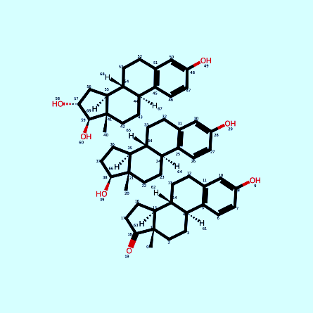 C[C@]12CC[C@@H]3c4ccc(O)cc4CC[C@H]3[C@@H]1CCC2=O.C[C@]12CC[C@@H]3c4ccc(O)cc4CC[C@H]3[C@@H]1CC[C@@H]2O.C[C@]12CC[C@@H]3c4ccc(O)cc4CC[C@H]3[C@@H]1C[C@@H](O)[C@@H]2O